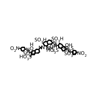 Nc1c(N=Nc2ccc3cc(S(=O)(=O)O)c(N=Nc4ccc([N+](=O)[O-])cc4S(=O)(=O)O)c(O)c3c2)cc(S(=O)(=O)O)c2cc(S(=O)(=O)O)c(N=Nc3ccc4c(O)c(N=Nc5ccc([N+](=O)[O-])cc5S(=O)(=O)O)c(S(=O)(=O)O)cc4c3S(=O)(=O)O)c(O)c12